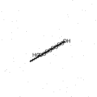 CCCCCCCCCC(O)COCCOCCOCCOCCOCCOCCOCCOCCO